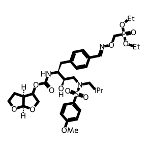 CCOP(=O)(CO/N=C/c1ccc(C[C@H](NC(=O)OC2CO[C@H]3OCC[C@@H]23)[C@H](O)CN(CC(C)C)S(=O)(=O)c2ccc(OC)cc2)cc1)OCC